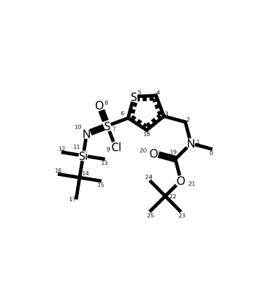 CN(Cc1csc(S(=O)(Cl)=N[Si](C)(C)C(C)(C)C)c1)C(=O)OC(C)(C)C